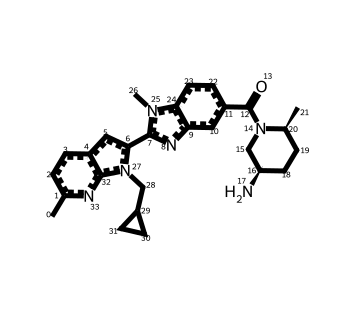 Cc1ccc2cc(-c3nc4cc(C(=O)N5C[C@H](N)CC[C@@H]5C)ccc4n3C)n(CC3CC3)c2n1